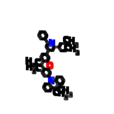 C=C/C=C(\C=C/C)c1cc(-c2ccc3c(c2)Oc2cc(N4c5ccccc5C(C)(C)c5ccccc54)ccc2C3(C)C)cc(-c2ccccc2)n1